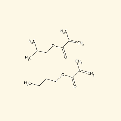 C=C(C)C(=O)OCC(C)C.C=C(C)C(=O)OCCCC